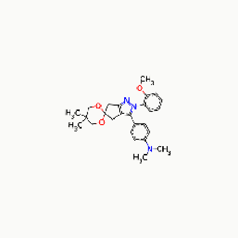 COc1ccccc1-n1nc2c(c1-c1ccc(N(C)C)cc1)CC1(C2)OCC(C)(C)CO1